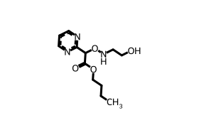 CCCCOC(=O)C(ONCCO)c1ncccn1